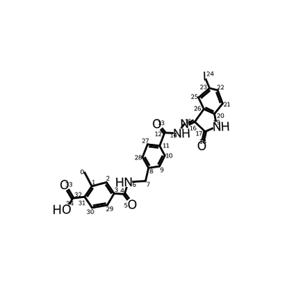 Cc1cc(C(=O)NCc2ccc(C(=O)NN=C3C(=O)Nc4ccc(I)cc43)cc2)ccc1C(=O)O